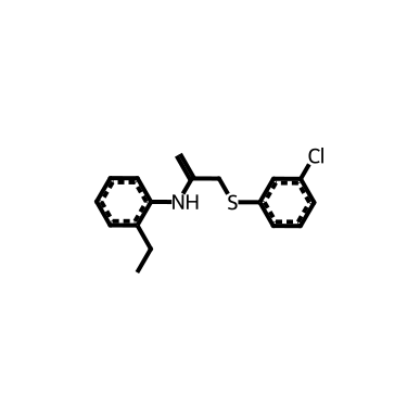 C=C(CSc1cccc(Cl)c1)Nc1ccccc1CC